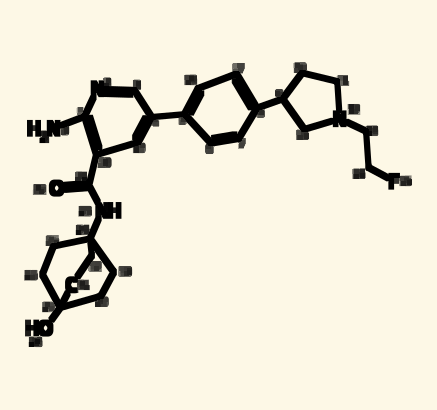 Nc1ncc(-c2ccc(C3CCN(CCF)C3)cc2)cc1C(=O)NC12CCC(O)(CC1)CC2